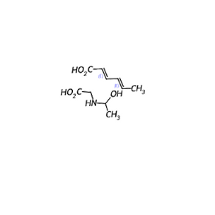 C/C=C/C=C/C(=O)O.CC(O)NCC(=O)O